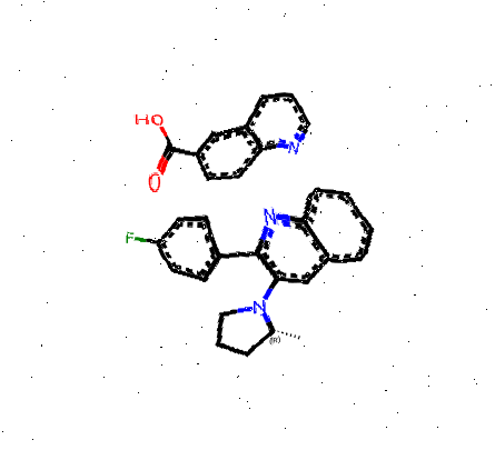 C[C@@H]1CCCN1c1cc2ccccc2nc1-c1ccc(F)cc1.O=C(O)c1ccc2ncccc2c1